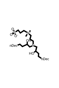 CCCCCCCCCCCCC(O)CN(CCC[N+](C)(C)CCCS(=O)(=O)[O-])CC(O)CCCCCCCCCCCC